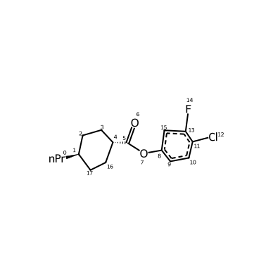 CCC[C@H]1CC[C@H](C(=O)Oc2ccc(Cl)c(F)c2)CC1